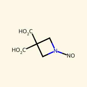 O=NN1CC(C(=O)O)(C(=O)O)C1